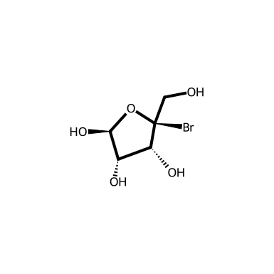 OC[C@@]1(Br)O[C@H](O)[C@@H](O)[C@H]1O